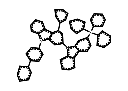 c1ccc(-c2ccc(-n3c4ccccc4c4c(-c5ccccc5)cc(-n5c6ccccc6c6ccc([Si](c7ccccc7)(c7ccccc7)c7ccccc7)cc65)cc43)cc2)cc1